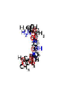 CCOC(=O)C(C)(C)COS(=O)(=O)ON1C(=O)N2C[C@H]1CC[C@H]2C(=O)NC1CCN(C(=O)OC(C)OC(=O)C(N)C(C)C)CC1